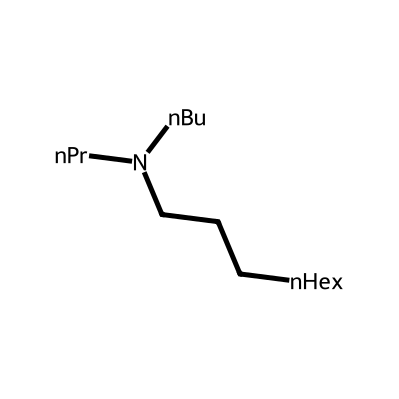 CCCCCCCCCN(CCC)CCCC